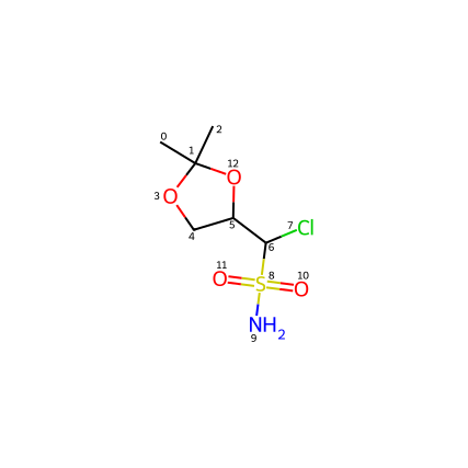 CC1(C)OCC(C(Cl)S(N)(=O)=O)O1